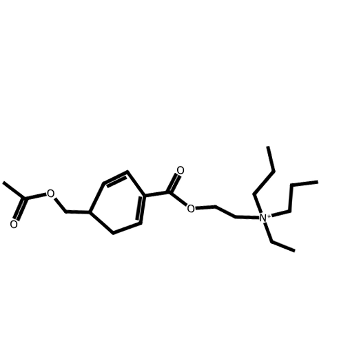 CCC[N+](CC)(CCC)CCOC(=O)C1=CCC(COC(C)=O)C=C1